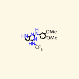 COc1ccc(Nc2nc(NCC(F)(F)F)c3cc[nH]c3n2)cc1OC